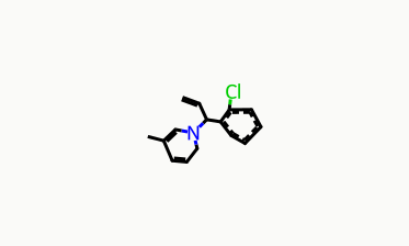 C=CC(c1ccccc1Cl)N1C=C(C)C=CC1